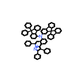 c1ccc(-c2nn3c(-c4ccccc4)cc4c(N(c5ccc6c(c5)C5(c7ccccc7-c7ccccc75)c5ccccc5-6)c5cccc6c5-c5ccccc5C6(c5ccccc5)c5ccccc5)cccc4c3c2-c2ccccc2)cc1